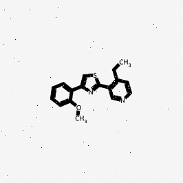 CCc1ccncc1-c1nc(-c2ccccc2OC)cs1